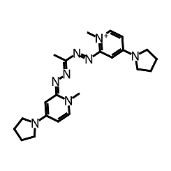 CC(N=Nc1cc(N2CCCC2)cc[n+]1C)=NN=c1cc(N2CCCC2)ccn1C